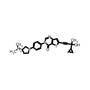 CN(C)[C@@H]1CCN(c2ccc(-n3cnc4cc(C#CC(C)(O)C5CC5)sc4c3=O)cc2)C1